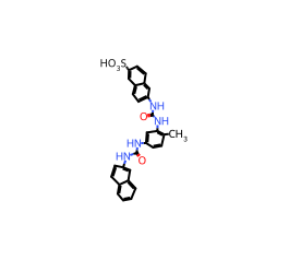 Cc1ccc(NC(=O)Nc2ccc3ccccc3c2)cc1NC(=O)Nc1ccc2cc(S(=O)(=O)O)ccc2c1